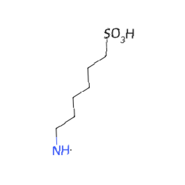 [NH]CCCCCCS(=O)(=O)O